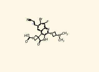 CN(C)C1CN(c2nc3c(F)c(Br)c(/C=C/C#N)cc3c3c2NC(=O)C32CN(C(=O)O)C2)C1